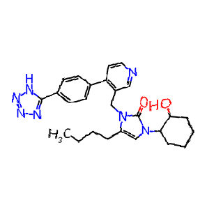 CCCCc1cn(C2CCCCC2O)c(=O)n1Cc1cnccc1-c1ccc(-c2nnn[nH]2)cc1